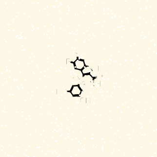 Cc1cc(C)cc(S(=O)(=O)c2c(C(N)=O)[nH]c3cc(F)c(F)cc23)c1